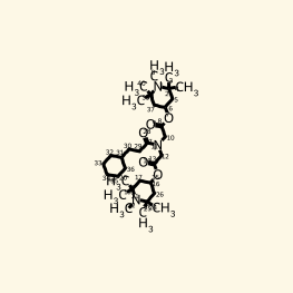 CN1C(C)(C)CC(OC(=O)CN(CC(=O)OC2CC(C)(C)N(C)C(C)(C)C2)C(=O)CCC2CCCCC2)CC1(C)C